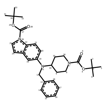 CC(C)(C)OC(=O)N1CCC(N(Cc2ccccc2)c2ccc3c(ccn3C(=O)OC(C)(C)C)c2)CC1